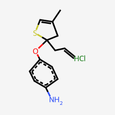 C=CCC1(Oc2ccc(N)cc2)CC(C)=CS1.Cl